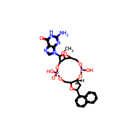 COC1C2COP(O)O[C@@H]3CC(c4cccc5ccccc45)OC3COP(=O)(O)OC1C(n1cnc3c(=O)[nH]c(N)nc31)O2